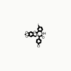 O=C1Nc2ccc(I)cc2C(=O)N(Cc2ccc3c(c2)OCO3)C1c1ccc(Cl)cc1